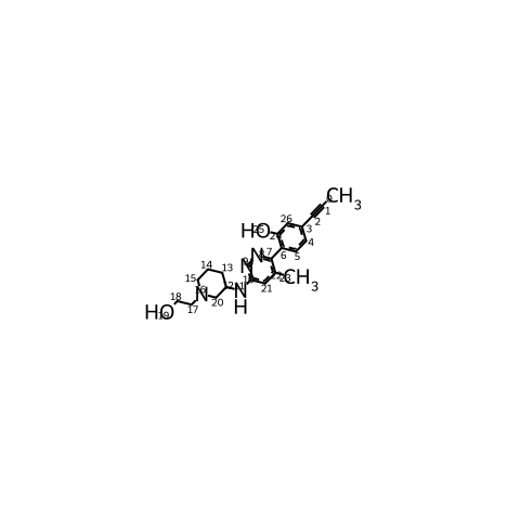 CC#Cc1ccc(-c2nnc(NC3CCCN(CCO)C3)cc2C)c(O)c1